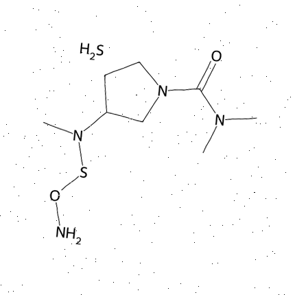 CN(C)C(=O)N1CCC(N(C)SON)C1.S